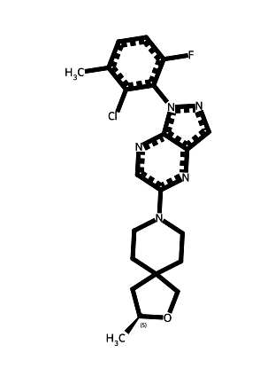 Cc1ccc(F)c(-n2ncc3nc(N4CCC5(CC4)CO[C@@H](C)C5)cnc32)c1Cl